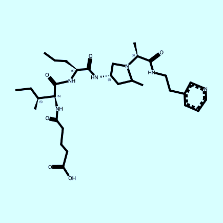 CCC[C@H](NC(=O)[C@@H](NC(=O)CCCC(=O)O)[C@@H](C)CC)C(=O)N[C@H]1CC(C)N([C@@H](C)C(=O)NCCc2cccnc2)C1